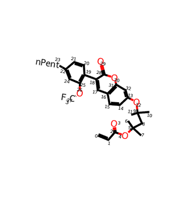 C=CC(=O)OC(C)(C)CC(C)(C)Oc1ccc2cc(-c3ccc(CCCCC)cc3OC(F)(F)F)c(=O)oc2c1